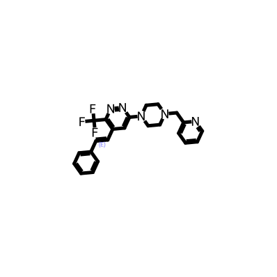 FC(F)(F)c1nnc(N2CCN(Cc3ccccn3)CC2)cc1/C=C/c1ccccc1